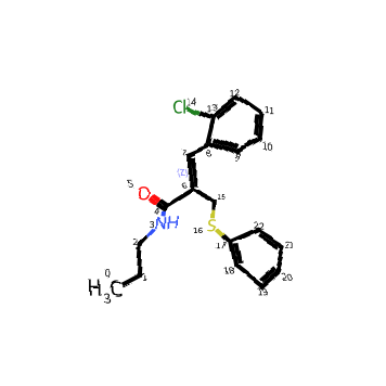 CCCNC(=O)/C(=C/c1ccccc1Cl)CSc1ccccc1